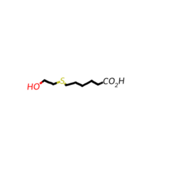 O=C(O)CCCCCSCCO